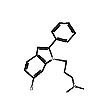 CN(C)CCCn1c(-c2ccccc2)cc2ccc(Cl)cc21